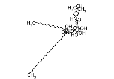 CCCCCCCCCCCCCCCCCCCCCCCCCCN[C@@H](CO[C@H]1O[C@H](COC(=O)Nc2ccc(C(C)(C)C)cc2)[C@H](O)[C@H](O)[C@H]1O)[C@H](O)[C@H](O)CCCCCCCCCCCCCC